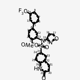 COc1ccc(-c2cccc(C(F)(F)F)c2)cc1N(c1ccon1)S(=O)(=O)c1ccc2[nH]c(=O)ccc2c1